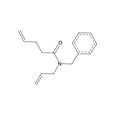 C=CCCC(=O)N(CC=C)Cc1ccccc1